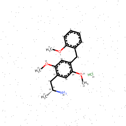 COc1ccccc1Cc1cc(OC)c(C[C@@H](C)N)cc1OC.Cl